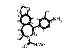 CNC(=O)N1N=C(c2ccc(N)c(C)c2)c2cc3c(cc2C=C1C)OCO3